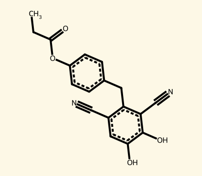 CCC(=O)Oc1ccc(Cc2c(C#N)cc(O)c(O)c2C#N)cc1